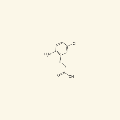 Nc1ccc(Cl)cc1OCC(=O)O